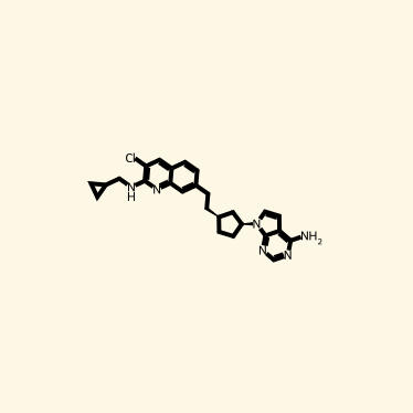 Nc1ncnc2c1ccn2[C@H]1CC[C@@H](CCc2ccc3cc(Cl)c(NCC4CC4)nc3c2)C1